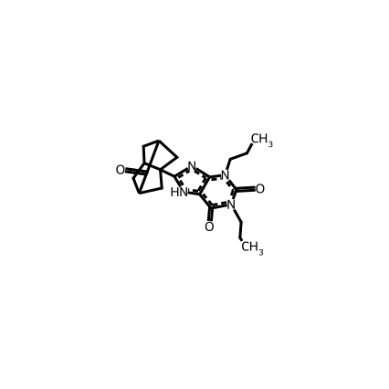 CCCn1c(=O)c2[nH]c(C34CC5CC3CC(C4)C5=O)nc2n(CCC)c1=O